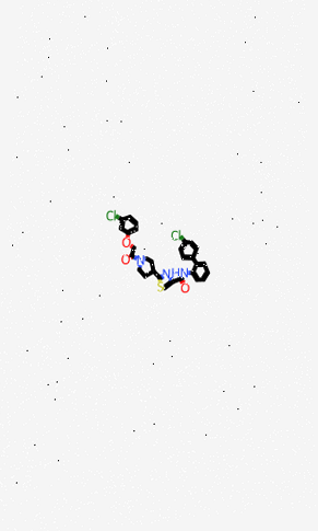 O=C(Nc1ccccc1-c1ccc(Cl)cc1)c1csc(C2CCN(C(=O)COc3cccc(Cl)c3)CC2)n1